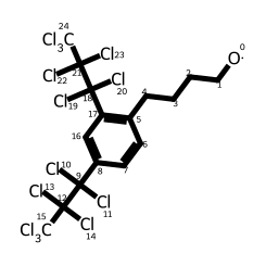 [O]CCCCc1ccc(C(Cl)(Cl)C(Cl)(Cl)C(Cl)(Cl)Cl)cc1C(Cl)(Cl)C(Cl)(Cl)C(Cl)(Cl)Cl